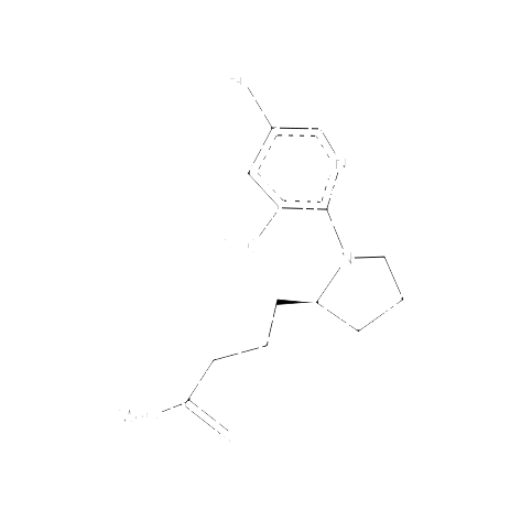 COC(=O)CCC[C@@H]1CCCN1c1ncc(Br)cc1C=O